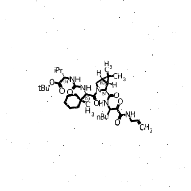 C=CCNC(=O)C(=O)C(CCCC)NC(=O)[C@@H]1[C@@H]2[C@H](CN1C(=O)[C@@H](NC(=O)N[C@H](C(=O)OC(C)(C)C)C(C)C)C1(C)CCCCC1)C2(C)C